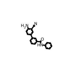 N#Cc1cc(-c2cccc(C(=O)Nc3ccccc3)c2)ccc1N